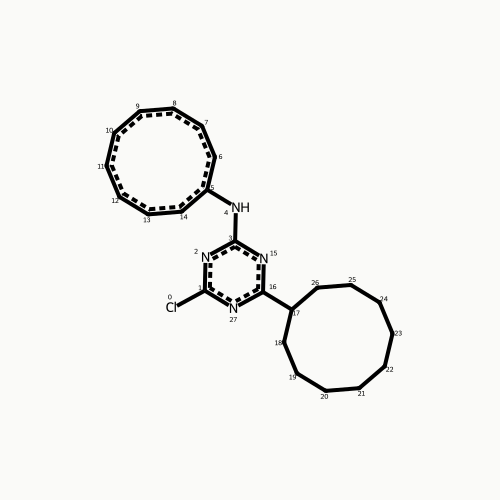 Clc1nc(Nc2ccccccccc2)nc(C2CCCCCCCCC2)n1